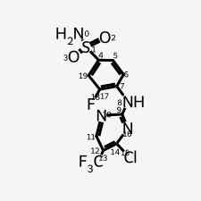 NS(=O)(=O)c1ccc(Nc2ncc(C(F)(F)F)c(Cl)n2)c(F)c1